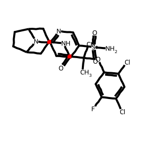 CC(C)(Oc1cc(F)c(Cl)cc1Cl)C(=O)NC1CC2CCC(C1)N2c1ccc(S(N)(=O)=O)cn1